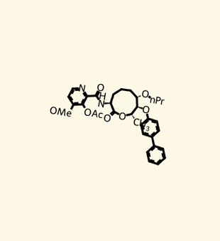 CCCO[C@H]1CCC[C@H](NC(=O)c2nccc(OC)c2OC(C)=O)C(=O)O[C@@H](C)[C@@H]1Oc1ccc(-c2ccccc2)cc1